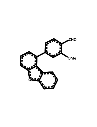 COc1cc(-c2cccc3oc4ccccc4c23)ccc1C=O